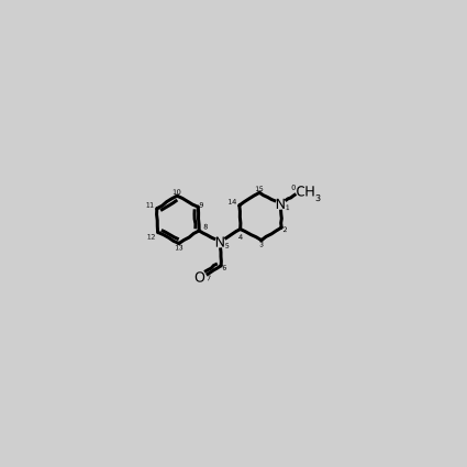 CN1CCC(N(C=O)c2ccccc2)CC1